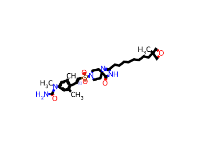 Cc1cc(N(C)C(N)=O)cc(C)c1/C=C/S(=O)(=O)N1CCC2(CC1)N=C(CCCCCCCCC1(C)COC1)NC2=O